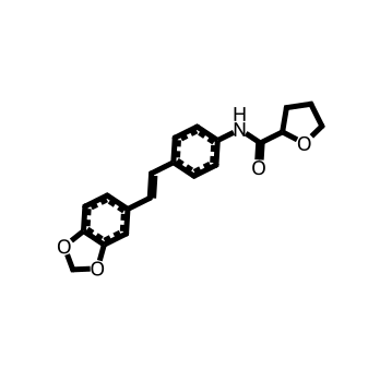 O=C(Nc1ccc(/C=C/c2ccc3c(c2)OCO3)cc1)C1CCCO1